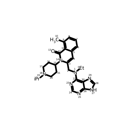 CCN(Cc1cc2cccc(C)c2c(=O)n1C1CCN(C(C)C)CC1)c1ncnc2[nH]cnc12